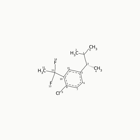 CC(C)[C@H](C)c1ccc(Cl)c(C(C)(F)F)c1